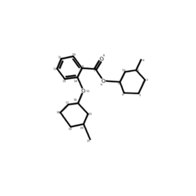 CC1CCCC(OC(=O)c2ccccc2OC2CCCC(C)C2)C1